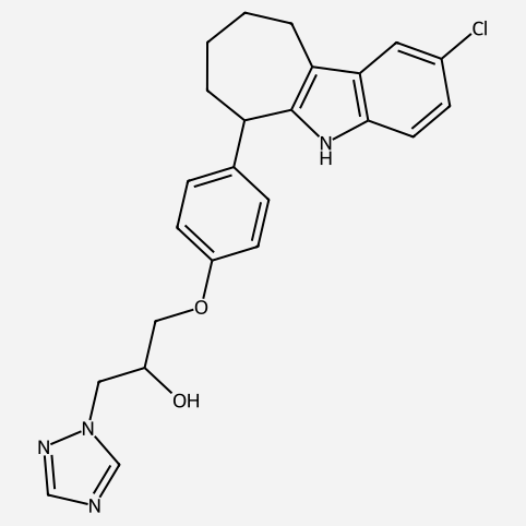 OC(COc1ccc(C2CCCCc3c2[nH]c2ccc(Cl)cc32)cc1)Cn1cncn1